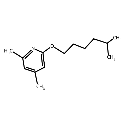 Cc1cc(C)nc(OCCCCC(C)C)c1